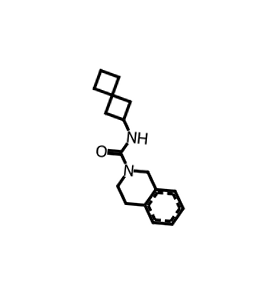 O=C(NC1CC2(CCC2)C1)N1CCc2ccccc2C1